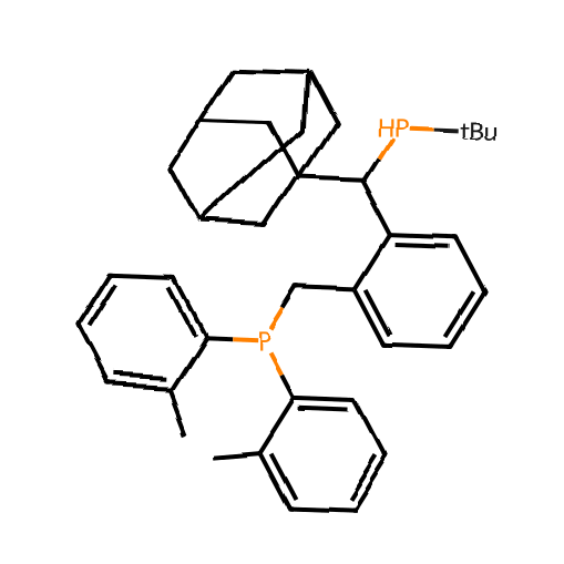 Cc1ccccc1P(Cc1ccccc1C(PC(C)(C)C)C12CC3CC(CC(C3)C1)C2)c1ccccc1C